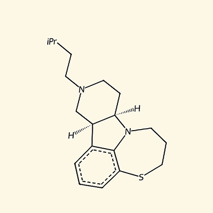 CC(C)CCN1CC[C@@H]2[C@H](C1)c1cccc3c1N2CCCS3